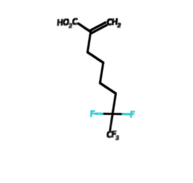 C=C(CCCCC(F)(F)C(F)(F)F)C(=O)O